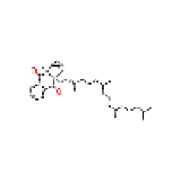 C/C(=C\CC12C(=O)c3ccccc3C(=O)C1(C)C1C=CC2C1)CCCC(C)CCCC(C)CCCC(C)C